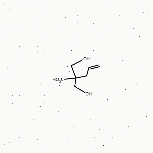 C=CCC(CO)(CO)C(=O)O